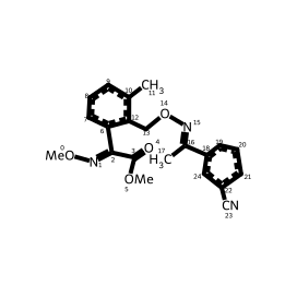 CO/N=C(/C(=O)OC)c1cccc(C)c1CO/N=C(\C)c1cccc(C#N)c1